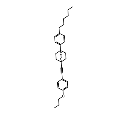 CCCCCCc1ccc(C23CCC(C#Cc4ccc(OCCC)cc4)(CC2)CC3)cc1